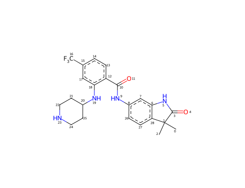 CC1(C)C(=O)Nc2cc(NC(=O)c3ccc(C(F)(F)F)cc3NC3CCNCC3)ccc21